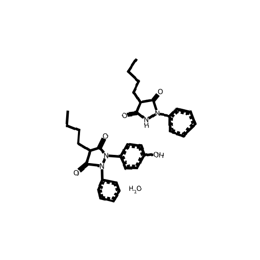 CCCCC1C(=O)N(c2ccccc2)N(c2ccc(O)cc2)C1=O.CCCCC1C(=O)NN(c2ccccc2)C1=O.O